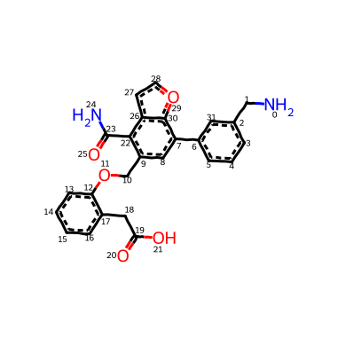 NCc1cccc(-c2cc(COc3ccccc3CC(=O)O)c(C(N)=O)c3ccoc23)c1